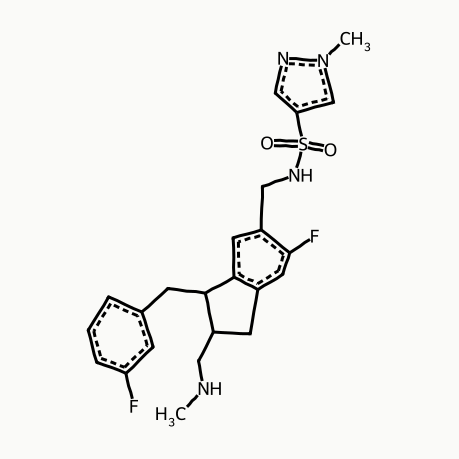 CNCC1Cc2cc(F)c(CNS(=O)(=O)c3cnn(C)c3)cc2C1Cc1cccc(F)c1